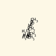 CCOC(=O)C=C1CCC[C@]2(C)[C@@H]1CC[C@@H]2C(C)CCCC(C)(C)O[Si](C)(C)C